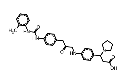 Cc1ccccc1NC(=O)Nc1ccc(CC(=O)CNc2ccc(C(CC(=O)O)N3CCCC3)cc2)cc1